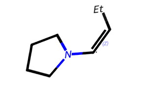 CC/C=[C]\N1CCCC1